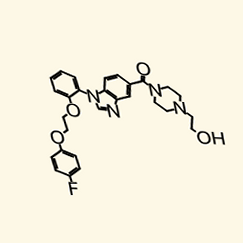 O=C(c1ccc2c(c1)ncn2-c1ccccc1OCCOc1ccc(F)cc1)N1CCN(CCO)CC1